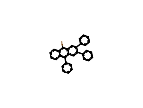 Brc1c2ccccc2c(-c2ccccc2)c2cc(-c3ccccc3)c(-c3ccccc3)cc12